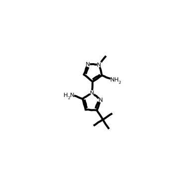 Cn1ncc(-n2nc(C(C)(C)C)cc2N)c1N